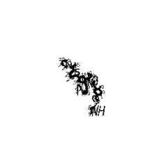 Cc1ccc(OC[C@@H]2CCN2)cc1C(=O)NC1(c2cc(-c3ccc(C(C)N4CCCC4)s3)cc3ncccc23)CC1